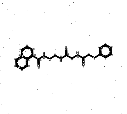 O=C(CCc1ccccc1)NCC(=O)NCCNC(=O)c1cccc2ccccc12